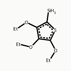 CCOc1sc([SiH3])c(OCC)c1OCC